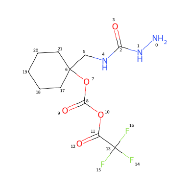 NNC(=O)NCC1(OC(=O)OC(=O)C(F)(F)F)CCCCC1